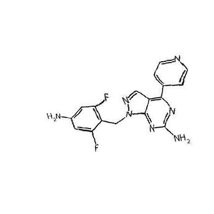 Nc1cc(F)c(Cn2ncc3c(-c4ccncc4)nc(N)nc32)c(F)c1